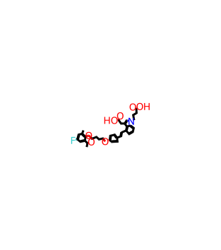 CC(=O)c1cc(F)cc(C)c1OCCCCOc1ccc(C=Cc2cccc3c2c(CC(=O)O)cn3CCCC(=O)O)cc1